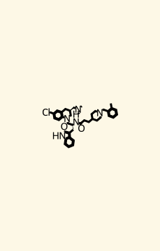 Cc1ccccc1CN1CCC(CCC(=O)N[C@H](Cc2c[nH]c3ccccc23)C(=O)N2C[C@H](CN(C)C)Cc3cc(Cl)ccc32)CC1